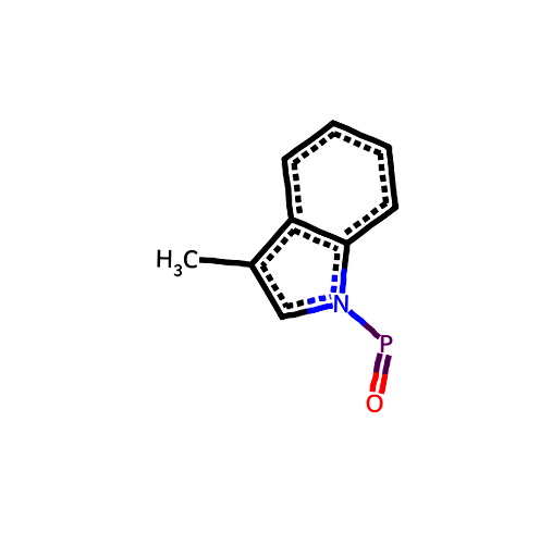 Cc1cn(P=O)c2ccccc12